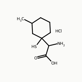 CC1CCCC(S)(C(N)C(=O)O)C1.Cl